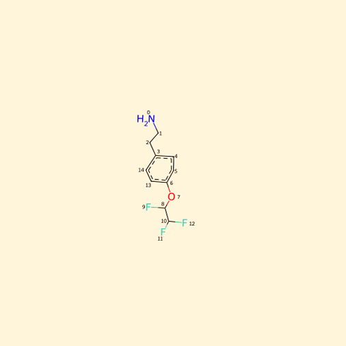 NCCc1ccc(OC(F)C(F)F)cc1